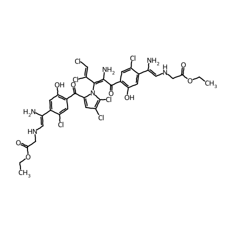 CCOC(=O)CN/C=C(\N)c1cc(O)c(C(=O)/C(N)=C(/C(Cl)=C/Cl)n2c(C(=O)c3cc(Cl)c(/C(N)=C/NCC(=O)OCC)cc3O)cc(Cl)c2Cl)cc1Cl